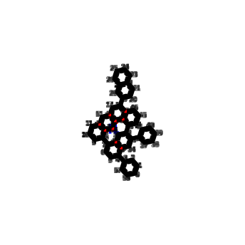 c1ccc(-c2ccc(-c3ccccc3N(c3ccc(-c4ccc5ccccc5c4)cc3)c3cccc(-c4ccccc4)c3-c3ccccc3-c3ccccc3)cc2)cc1